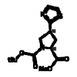 COC(=O)[C@@H]1C[C@H](c2nccs2)CN1C(=O)OC(C)(C)C